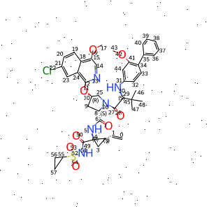 C=C[C@@H]1C[C@]1(NC(=O)[C@@H]1C[C@@H](Oc2ncc(OC)c3ccc(Cl)cc23)CN1C(=O)[C@@H](Nc1ccc(-c2ccccc2)c(OC)c1)C(C)(C)C)C(=O)NS(=O)(=O)C1CC1